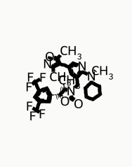 Cc1noc(C)c1-c1cnc(N(C)C2CCCCC2)c(CN2C(=O)O[C@H](c3cc(C(F)(F)F)cc(C(F)(F)F)c3)[C@@H]2C)c1